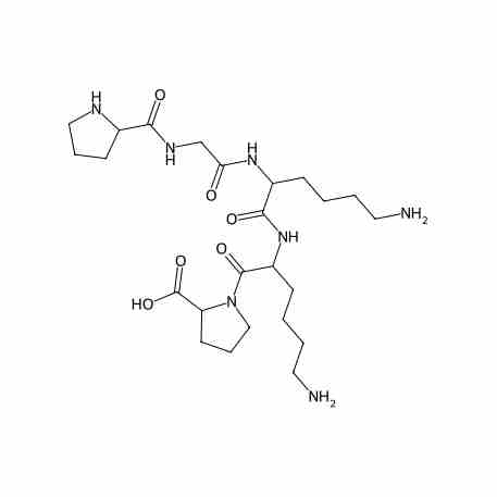 NCCCCC(NC(=O)CNC(=O)C1CCCN1)C(=O)NC(CCCCN)C(=O)N1CCCC1C(=O)O